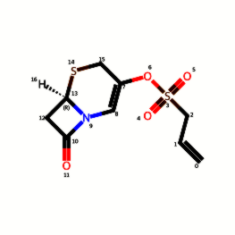 C=CCS(=O)(=O)OC1=CN2C(=O)C[C@H]2SC1